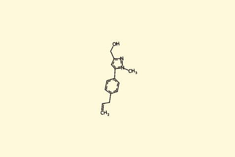 C=CCc1ccc(-c2cc(CO)nn2C)cc1